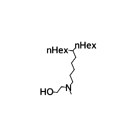 CCCCCCC(CCCCCC)CCCCCN(C)CCO